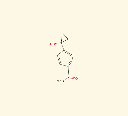 COC(=O)c1ccc(C2(O)CC2)cc1